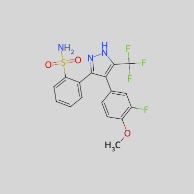 COc1ccc(-c2c(-c3ccccc3S(N)(=O)=O)n[nH]c2C(F)(F)F)cc1F